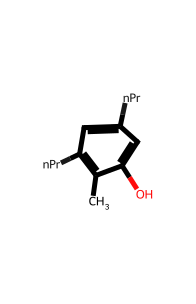 CCCc1cc(O)c(C)c(CCC)c1